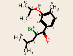 Cc1ccc(C(=O)C(Br)CC(C)C)cc1OC(C)C